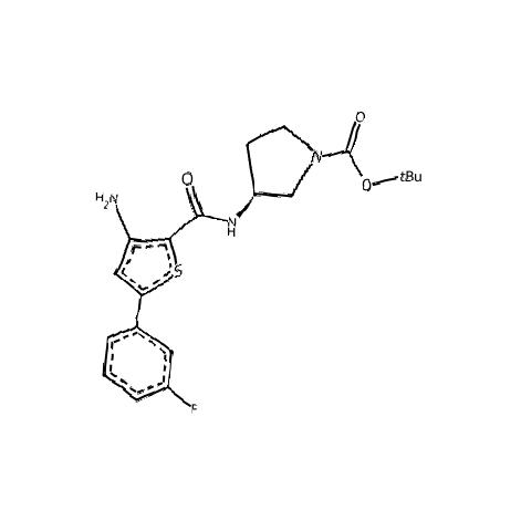 CC(C)(C)OC(=O)N1CC[C@H](NC(=O)c2sc(-c3cccc(F)c3)cc2N)C1